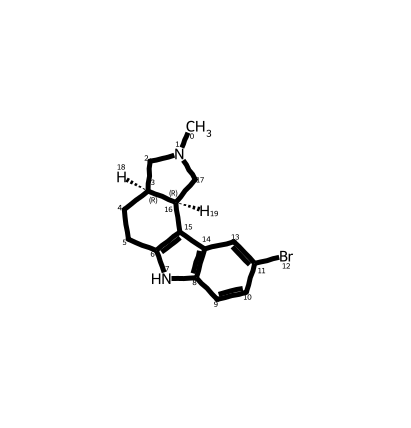 CN1C[C@@H]2CCc3[nH]c4ccc(Br)cc4c3[C@@H]2C1